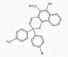 CCOC(=O)c1c2c(c3ccccc3c1O)OC(c1ccc(C)cc1)(c1ccc(Br)cc1)C=C2